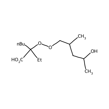 CCCCC(CC)(OOCC(C)CC(C)O)C(=O)O